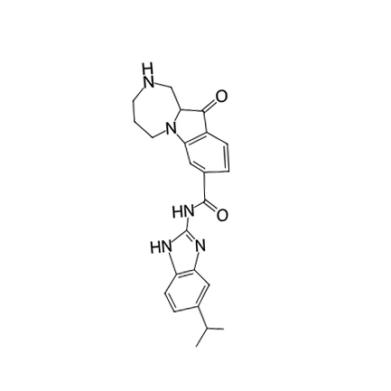 CC(C)c1ccc2[nH]c(NC(=O)c3ccc4c(c3)N3CCCNCC3C4=O)nc2c1